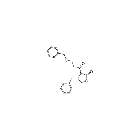 O=C(CCOCc1ccccc1)N1C(=O)OC[C@@H]1Cc1ccccc1